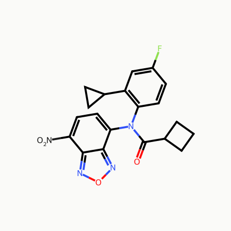 O=C(C1CCC1)N(c1ccc(F)cc1C1CC1)c1ccc([N+](=O)[O-])c2nonc12